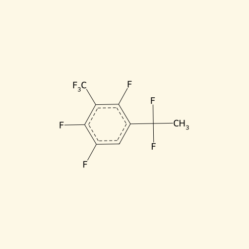 CC(F)(F)c1cc(F)c(F)c(C(F)(F)F)c1F